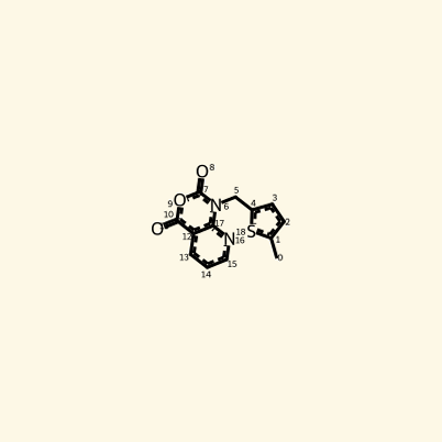 Cc1ccc(Cn2c(=O)oc(=O)c3cccnc32)s1